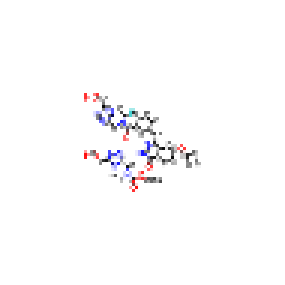 CC(C)(C)OC(=O)N1CCn2c(CO)nnc2C1.O=C(c1cc(Cc2n[nH]c(=O)c3ccc(OC4CCC4)cc23)ccc1F)N1CCn2c(CO)nnc2C1